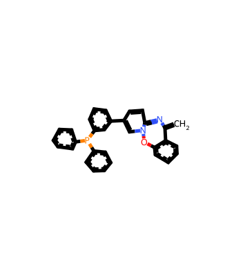 C=C1N=C2C=CC(c3cccc(P(c4ccccc4)c4ccccc4)c3)=CN2Oc2ccccc21